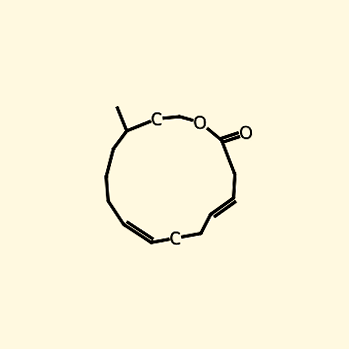 CC1CCC/C=C\CC/C=C/CC(=O)OCC1